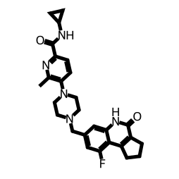 Cc1nc(C(=O)NC2CC2)ccc1N1CCN(Cc2cc(F)c3c4c(c(=O)[nH]c3c2)CCC4)CC1